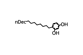 CCCCCCCCCCCCCCCCCCc1ccc(O)cc1O